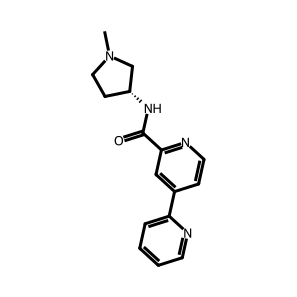 CN1CC[C@@H](NC(=O)c2cc(-c3ccccn3)ccn2)C1